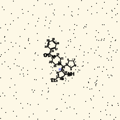 CCC1=C/C(=C(/C2CCCC2)N2CCN(C(=O)c3ccccc3)CC2)C(=N)S1